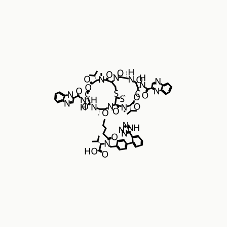 CCCCC(=O)N(Cc1ccc(-c2ccccc2-c2nnn[nH]2)cc1)[C@H](C(=O)O)C(C)C.CSC1SCC2C(=O)N(C)[C@@H](C(C)C)C(=O)OC[C@@H](NC(=O)c3cnc4ccccc4n3)C(=O)N[C@@H](C)C(=O)N(C)C1C(=O)N(C)[C@@H](C(C)C)C(=O)OC[C@@H](NC(=O)c1cnc3ccccc3n1)C(=O)N[C@@H](C)C(=O)N2C